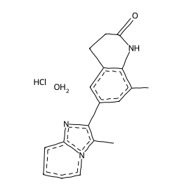 Cc1cc(-c2nc3ccccn3c2C)cc2c1NC(=O)CC2.Cl.O